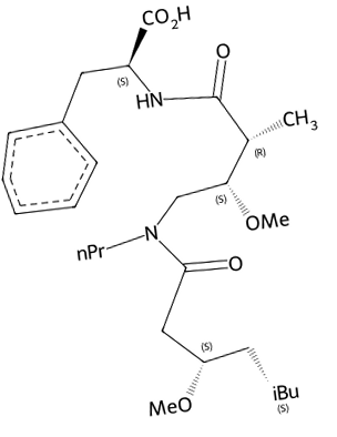 CCCN(C[C@@H](OC)[C@@H](C)C(=O)N[C@@H](Cc1ccccc1)C(=O)O)C(=O)C[C@H](C[C@@H](C)CC)OC